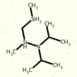 C[SiH2]C[SiH](C)N(C(C)C)C(C)C